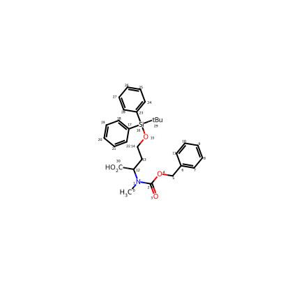 CN(C(=O)OCc1ccccc1)C(CCO[Si](c1ccccc1)(c1ccccc1)C(C)(C)C)C(=O)O